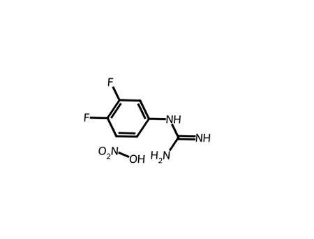 N=C(N)Nc1ccc(F)c(F)c1.O=[N+]([O-])O